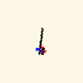 CCCCCCCCCCCC(=O)NC(CC)[N+]([O-])(CC)CC